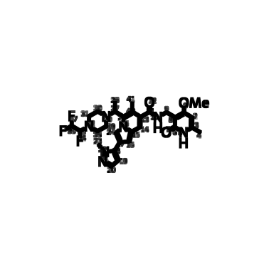 COc1cc(C)[nH]c(=O)c1CNC(=O)c1cc2cc(-c3ccnn3C)cn2c(C(C)N2CCN(C(F)C(F)F)CC2)c1C